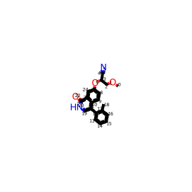 COCC(C#N)Oc1ccc2c(-c3ccccc3C)c[nH]c(=O)c2c1